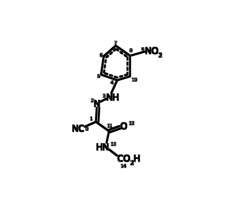 N#C/C(=N/Nc1cccc([N+](=O)[O-])c1)C(=O)NC(=O)O